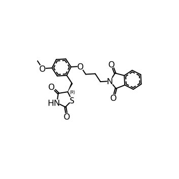 COc1ccc(OCCCN2C(=O)c3ccccc3C2=O)c(C[C@H]2SC(=O)NC2=O)c1